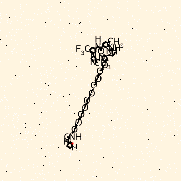 Cc1cn(-c2cc(NC(=O)c3ccc(C)c(Nc4nccc(-c5cncc(OCCOCCOCCOCCOCCOCCOCCOCCOCCOCCNC(=O)[C@@H]6C[C@@H]7C=C[C@H]6C7)c5)n4)c3)cc(C(F)(F)F)c2)cn1